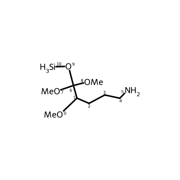 COC(CCCN)C(OC)(OC)O[SiH3]